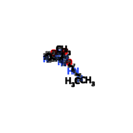 CN(C)CCNCCCOc1nnc2c(n1)c(=O)n(C)c(=O)n2Cc1cccnc1